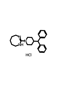 Cl.c1ccc(C(c2ccccc2)C2CCN(/C3=N/CCCCCN3)CC2)cc1